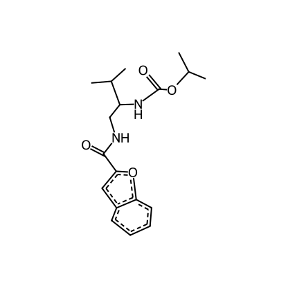 CC(C)OC(=O)NC(CNC(=O)c1cc2ccccc2o1)C(C)C